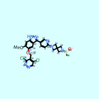 COc1cc2[nH]nc(-c3ccc(N4CC5(C4)CN([S+](C)[O-])C5)nc3)c2cc1O[C@H](C)c1c(Cl)cnnc1Cl